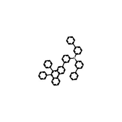 c1ccc(-c2cccc(N(c3cccc(-c4ccccc4)c3)c3cccc(-c4ccc5c(c4)c(-c4ccccc4)c(-c4ccccc4)c4ccccc45)c3)c2)cc1